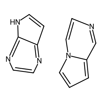 c1cc2cnccn2c1.c1cnc2[nH]ccc2n1